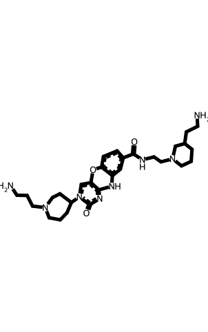 NCCCN1CCCC(n2cc3c(nc2=O)Nc2cc(C(=O)NCCN4CCCC(CCN)C4)ccc2O3)CC1